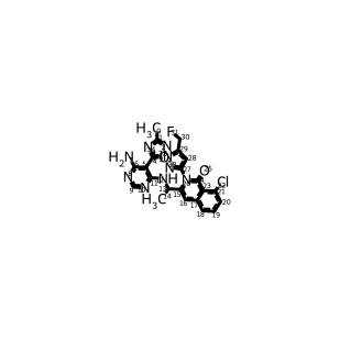 Cc1noc(-c2c(N)ncnc2NC(C)c2cc3cccc(Cl)c3c(=O)n2-c2cc(CF)[nH]n2)n1